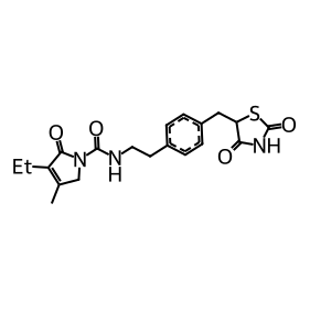 CCC1=C(C)CN(C(=O)NCCc2ccc(CC3SC(=O)NC3=O)cc2)C1=O